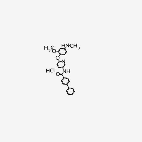 CNc1ccc(Oc2ccc(NC(=O)c3ccc(-c4ccccc4)cc3)cn2)c(OC)c1.Cl